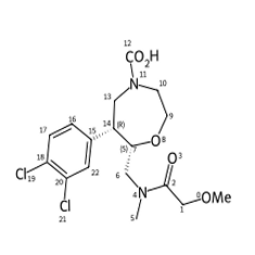 COCC(=O)N(C)C[C@H]1OCCN(C(=O)O)C[C@H]1c1ccc(Cl)c(Cl)c1